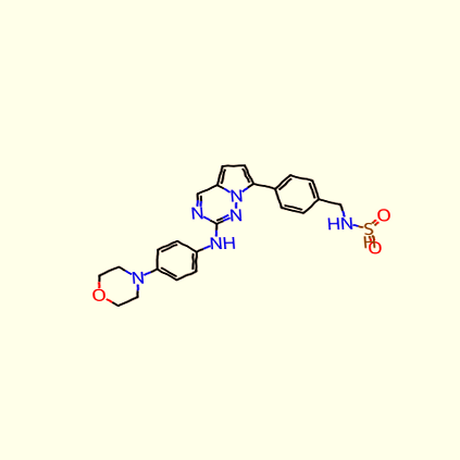 O=[SH](=O)NCc1ccc(-c2ccc3cnc(Nc4ccc(N5CCOCC5)cc4)nn23)cc1